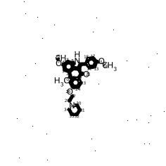 CCc1cc(OC)cc2[nH]c(-c3ccc(OC)cc3)c(C(=O)c3ccc(OCCN4CCCCC4)cc3)c12